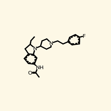 CCC1Cc2ccc(NC(C)=O)cc2N1C1CCN(CCc2ccc(F)cc2)CC1